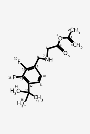 C=C(C)OC(=O)CNCc1ccc(C(C)(C)C)c(F)c1F